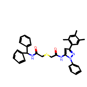 Cc1cc(C)c(-c2cc(NC(=O)CSCC(=O)NC(c3ccccc3)c3ccccc3)n(-c3ccccc3)n2)cc1C